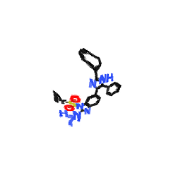 CC(C)S(=O)(=O)n1c(N)nc2ccc(-c3nc(-c4ccccc4)[nH]c3-c3ccccc3)cc21